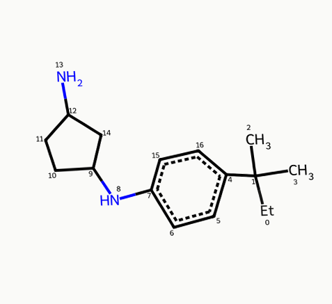 CCC(C)(C)c1ccc(NC2CCC(N)C2)cc1